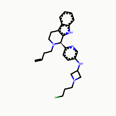 C=CCCN1CCc2c([nH]c3ccccc23)[C@H]1c1ccc(NC2CN(CCCF)C2)cn1